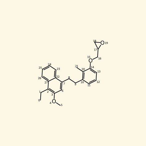 CCc1c(OC)cc(CCc2cccc(OCC3CO3)c2C)c2ccccc12